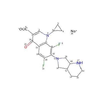 O=C([O-])c1cn(C2CC2)c2c(F)c(N3CC4CCCNC4C3)c(F)cc2c1=O.[Na+]